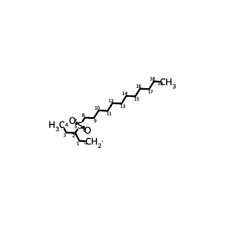 [CH2]CC(CC)S(=O)(=O)CCCCCCCCCCCC